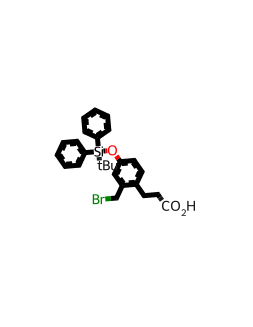 CC(C)(C)[Si](Oc1ccc(CCC(=O)O)c(CBr)c1)(c1ccccc1)c1ccccc1